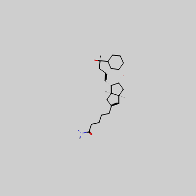 CN(C)C(=O)CCCCC1=C[C@H]2C[C@@H](O)[C@H](/C=C/C[C@](C)(O)C3CCCCC3)[C@H]2C1